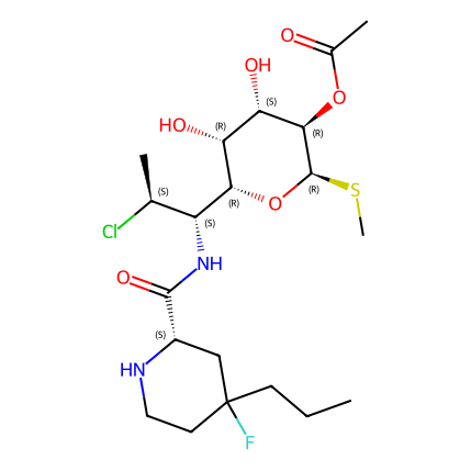 CCCC1(F)CCN[C@H](C(=O)N[C@@H]([C@H]2O[C@H](SC)[C@H](OC(C)=O)[C@@H](O)[C@H]2O)[C@H](C)Cl)C1